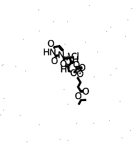 CC(C)OC(=O)CCCO[P@@]1(=O)OC[C@H]2O[C@@H](n3ccc(=O)[nH]c3=O)[C@](C)(Cl)[C@@H]2O1